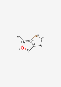 Cc1occ2c1SCC2